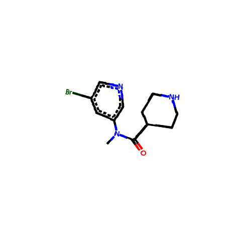 CN(C(=O)C1CCNCC1)c1cncc(Br)c1